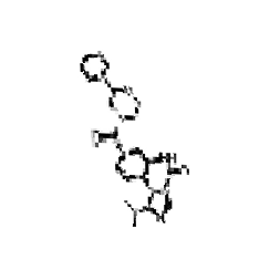 CC(C)c1ncc2c(=O)[nH]c3cc(C(=O)N4CCOC(c5ccccc5)C4)ccc3n12